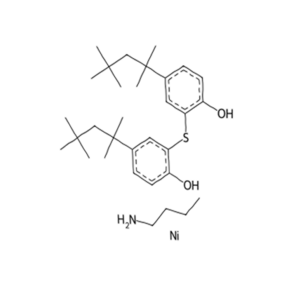 CC(C)(C)CC(C)(C)c1ccc(O)c(Sc2cc(C(C)(C)CC(C)(C)C)ccc2O)c1.CCCCN.[Ni]